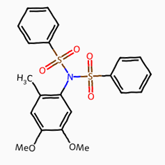 COc1cc(C)c(N(S(=O)(=O)c2ccccc2)S(=O)(=O)c2ccccc2)cc1OC